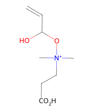 C=CC(O)O[N+](C)(C)CCC(=O)O